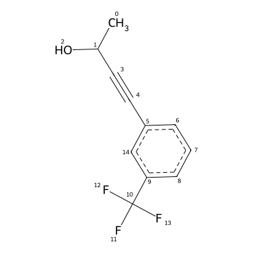 CC(O)C#Cc1cccc(C(F)(F)F)c1